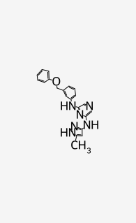 Cc1cc(Nc2cncc(Nc3cccc(COc4ccccc4)c3)n2)n[nH]1